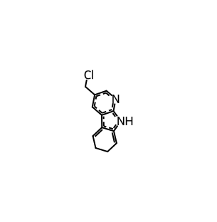 ClCc1cnc2[nH]c3c(c2c1)=CCCC=3